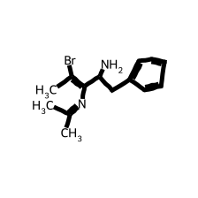 CC(C)=N/C(=C(\C)Br)C(N)Cc1ccccc1